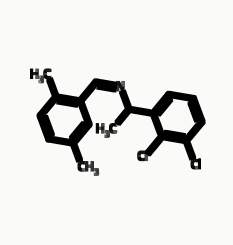 Cc1ccc(C)c(/C=N\C(C)c2cccc(Cl)c2Cl)c1